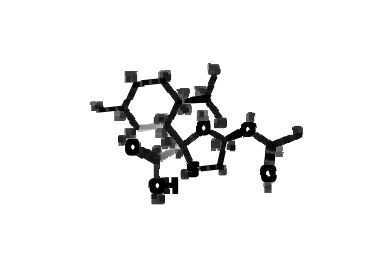 CC(=O)O[C@H]1CS[C@@](C(=O)O)([C@@H]2CC(C)CC[C@H]2C(C)C)O1